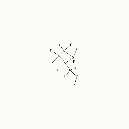 COC(F)(F)C1(F)C(C)(F)C(F)(F)C1(F)F